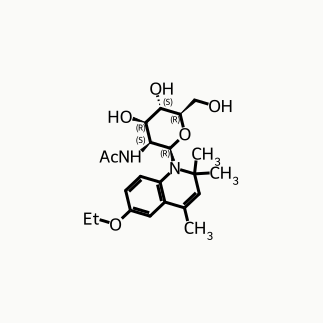 CCOc1ccc2c(c1)C(C)=CC(C)(C)N2[C@@H]1O[C@H](CO)[C@@H](O)[C@H](O)[C@@H]1NC(C)=O